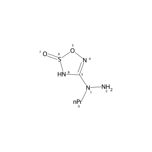 CCCN(N)C1=NOS(=O)N1